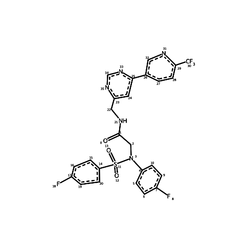 O=C(CN(c1ccc(F)cc1)S(=O)(=O)c1ccc(F)cc1)NCc1cc(-c2ccc(C(F)(F)F)nc2)ncn1